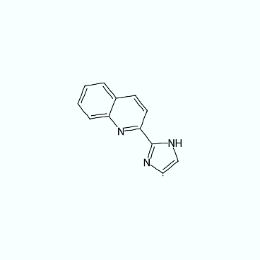 [c]1c[nH]c(-c2ccc3ccccc3n2)n1